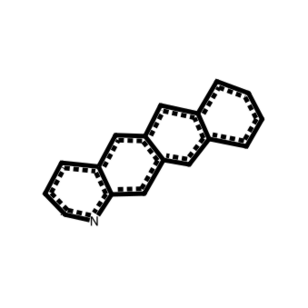 [c]1ccc2cc3cc4ccccc4cc3cc2n1